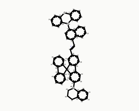 C(=C\c1ccc(N2c3ccccc3Sc3ccccc32)c2ccccc12)/c1ccc2c(c1)C1(c3ccccc3-c3ccccc31)c1cc(N3CCCc4ccccc43)ccc1-2